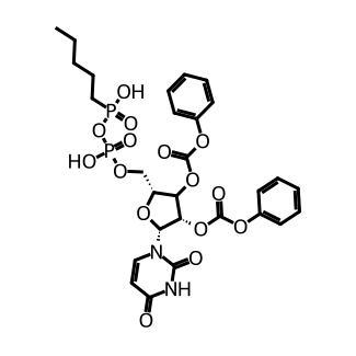 CCCCCP(=O)(O)OP(=O)(O)OC[C@H]1O[C@@H](n2ccc(=O)[nH]c2=O)[C@@H](OC(=O)Oc2ccccc2)C1OC(=O)Oc1ccccc1